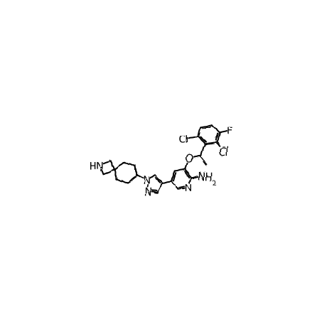 C[C@@H](Oc1cc(-c2cnn(C3CCC4(CC3)CNC4)c2)cnc1N)c1c(Cl)ccc(F)c1Cl